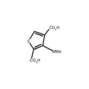 CNc1c(C(=O)O)csc1C(=O)O